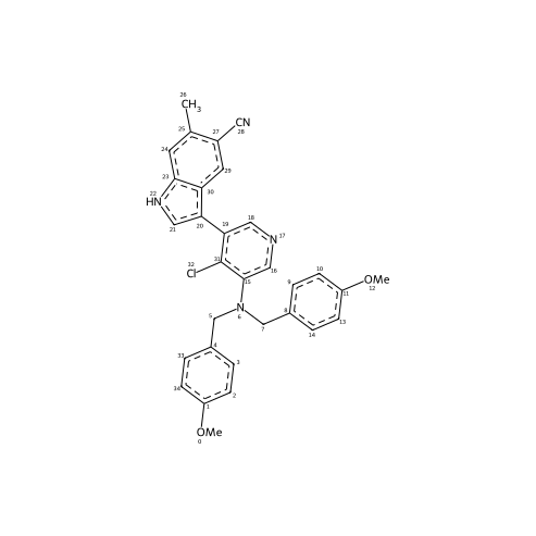 COc1ccc(CN(Cc2ccc(OC)cc2)c2cncc(-c3c[nH]c4cc(C)c(C#N)cc34)c2Cl)cc1